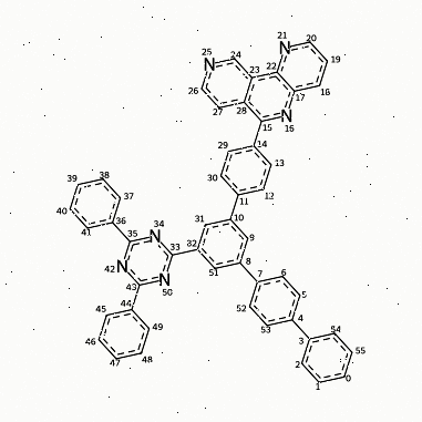 c1ccc(-c2ccc(-c3cc(-c4ccc(-c5nc6cccnc6c6cnccc56)cc4)cc(-c4nc(-c5ccccc5)nc(-c5ccccc5)n4)c3)cc2)cc1